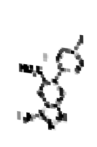 Nn1nnc2cc(-c3ccc(I)cc3F)c(C(=O)O)cc21